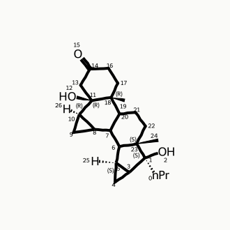 CCC[C@]1(O)C2C[C@H]2C2C3C4C[C@H]4[C@]4(O)CC(=O)CC[C@]4(C)C3CC[C@@]21C